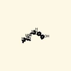 Cc1cncc(-c2cc(C)nc(N/N=C/c3ccc(Nc4ccc(-c5cccc(O)c5)cc4)cn3)n2)c1